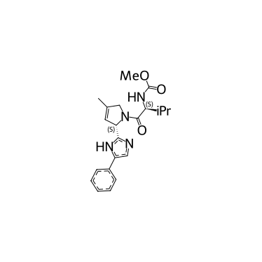 COC(=O)N[C@H](C(=O)N1CC(C)=C[C@H]1c1ncc(-c2ccccc2)[nH]1)C(C)C